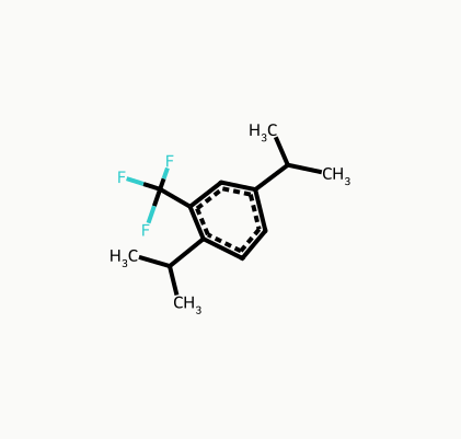 C[C](C)c1ccc(C(C)C)c(C(F)(F)F)c1